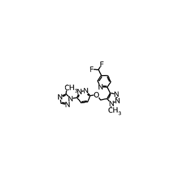 Cc1ncnn1-c1ccc(OCc2c(-c3ccc(C(F)F)cn3)nnn2C)nn1